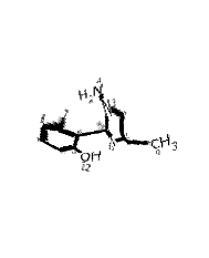 Cc1cn(N)c(-c2ccccc2O)n1